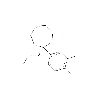 COC[C@@]1(c2ccc(Cl)c(Cl)c2)CCNCCO1.Cl